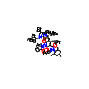 CCCCC(CC)CN(CC(CC)CCCC)c1nc(C(C)(C)C)c(/C=C2\C(=O)N(N(C(C)=O)C(=O)c3ccccc3)C(=O)C(C(=O)N(C(C)=O)C3C(C)CC(C)CC3C)=C2CC(C)C)s1